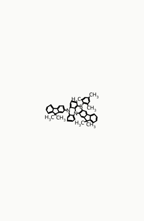 Cc1cc(C)c(B2c3cc4c(cc3N3c5ccccc5N(c5ccc6c(c5)C(C)(C)c5ccccc5-6)c5cccc2c53)C(C)(C)c2ccccc2-4)c(C)c1